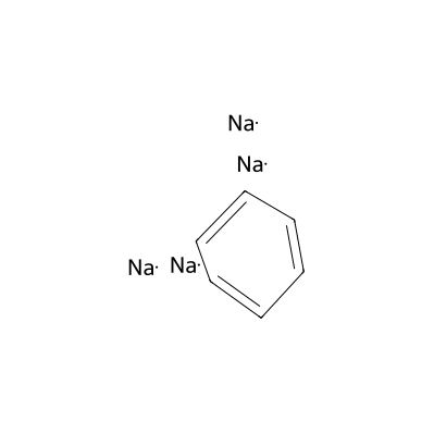 [Na].[Na].[Na].[Na].c1ccccc1